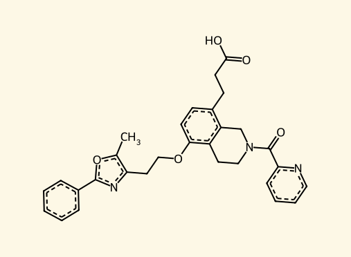 Cc1oc(-c2ccccc2)nc1CCOc1ccc(CCC(=O)O)c2c1CCN(C(=O)c1ccccn1)C2